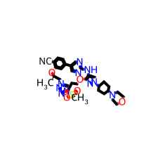 C[C@@H](Cn1cnnn1)Oc1cc(-c2cnc(Nc3cn(C4CCC(N5CCOCC5)CC4)nc3OCCCS(C)(=O)=O)nc2)ccc1C#N